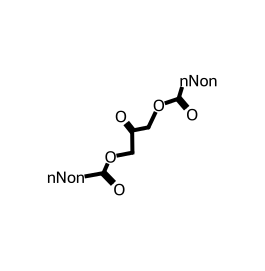 CCCCCCCCCC(=O)OCC(=O)COC(=O)CCCCCCCCC